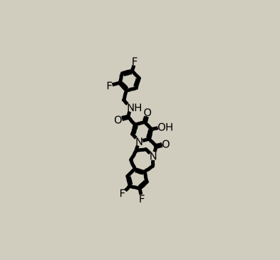 O=C(NCc1ccc(F)cc1F)c1cn2c(c(O)c1=O)C(=O)N1Cc3cc(F)c(F)cc3CC2C1